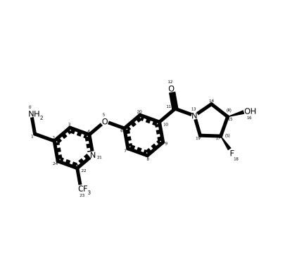 NCc1cc(Oc2cccc(C(=O)N3C[C@@H](O)[C@@H](F)C3)c2)nc(C(F)(F)F)c1